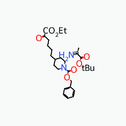 CCOC(=O)C(=O)CCCCC1CCN(C(=O)OCc2ccccc2)CC1.C[C@H](N)C(=O)OC(C)(C)C